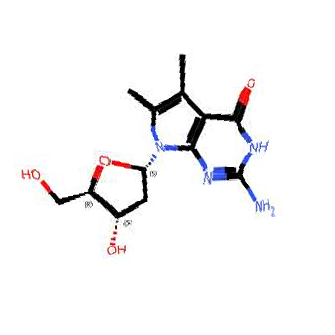 Cc1c(C)n([C@@H]2C[C@H](O)[C@@H](CO)O2)c2nc(N)[nH]c(=O)c12